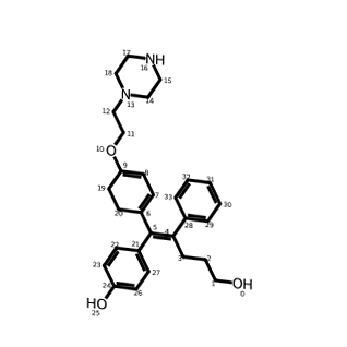 OCCC/C(=C(/C1=CC=C(OCCN2CCNCC2)CC1)c1ccc(O)cc1)c1ccccc1